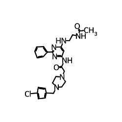 CC(=O)NCCNc1cc(NC(=O)CN2CCN(Cc3ccc(Cl)cc3)CC2)nc(-c2ccccc2)n1